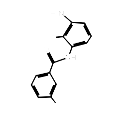 Nc1cccc(NC(=O)c2cccc(C(F)(F)F)c2)c1F